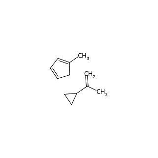 C=C(C)C1CC1.CC1=CC=CC1